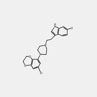 Clc1cc2c(c(N3CCN(CCc4c[nH]c5cc(Cl)ccc45)CC3)c1)OCCO2